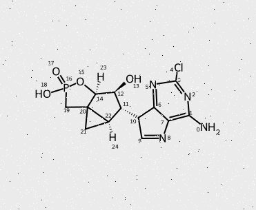 Nc1nc(Cl)nc2c1N=CC2[C@H]1[C@H](O)[C@@H]2OP(=O)(O)CC23C[C@H]13